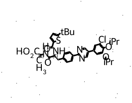 CC(C)Oc1cc(-c2cnc(-c3ccc(C[C@H](NC(=O)c4ccc(C(C)(C)C)s4)C(=O)N[C@H](C)C(=O)O)cc3)nc2)cc(Cl)c1OC(C)C